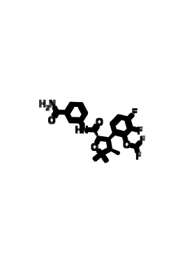 C[C@@H]1[C@H](c2ccc(F)c(F)c2OC(F)F)[C@@H](C(=O)Nc2cccc(C(N)=O)c2)OC1(C)C